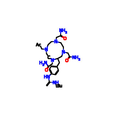 C=C(Nc1ccc(CC2CN(CC(N)=O)CCN(CC(N)=O)CCN(CC(C)=O)CCN2CC(N)=O)cc1)NC(C)(C)C